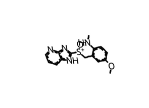 CNc1ccc(OC)cc1C[S+]([O-])c1nc2ncccc2[nH]1